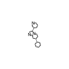 c1ccc(-c2ccn3c(-c4cccnc4)cnc3c2)cc1